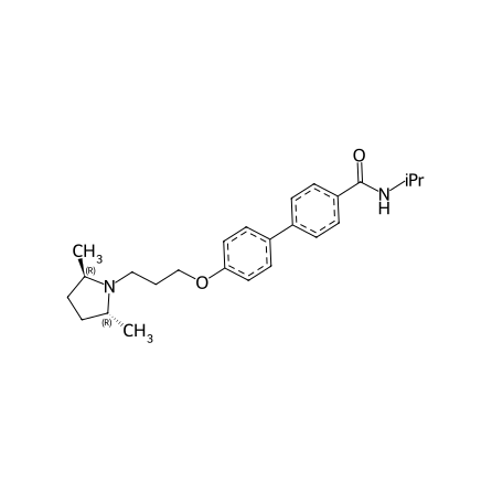 CC(C)NC(=O)c1ccc(-c2ccc(OCCCN3[C@H](C)CC[C@H]3C)cc2)cc1